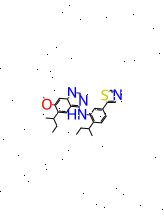 CCC(C)c1ccc(-c2cncs2)cc1Nc1ncnc2cc(OC)c(C(C)CC)cc12